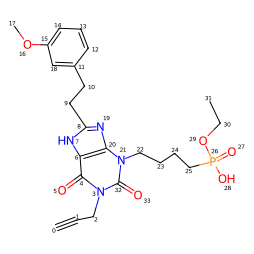 C#CCn1c(=O)c2[nH]c(CCc3cccc(OC)c3)nc2n(CCCCP(=O)(O)OCC)c1=O